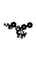 N=C(N)c1cccc(OC[C@@H](CC(=O)OC(=O)C(F)(F)F)NC(=O)c2ccc(-c3ccccc3)cc2)c1